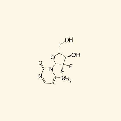 Nc1ccnc(=O)n1[C@@H]1O[C@H](CO)[C@@H](O)C1(F)F